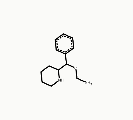 NCOC(c1ccccc1)C1CCCCN1